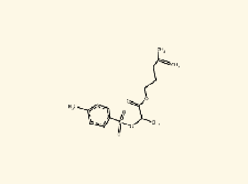 C=C(C)CCCOC(=O)C(C)OS(=O)(=O)c1ccc(C)cc1